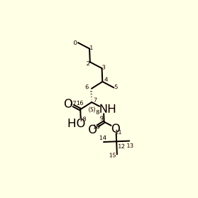 CCCCC(C)C[C@H](NC(=O)OC(C)(C)C)C(=O)O